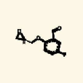 O=Cc1cc(F)ccc1OC[C@@H]1CO1